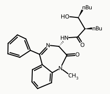 CCCC[C@H](O)[C@@H](CCCC)C(=O)N[C@H]1N=C(c2ccccc2)c2ccccc2N(C)C1=O